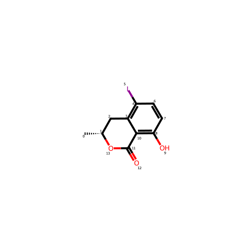 C[C@@H]1Cc2c(I)ccc(O)c2C(=O)O1